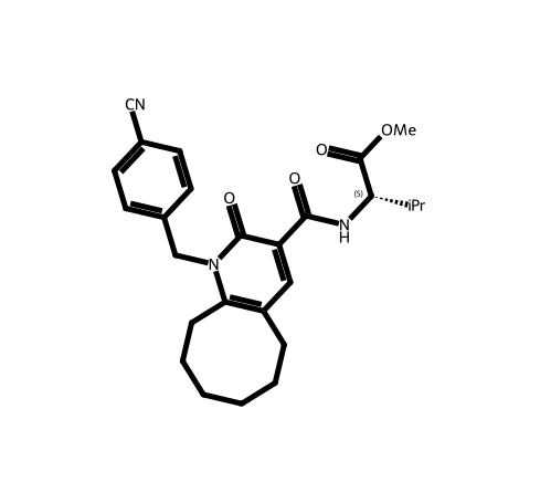 COC(=O)[C@@H](NC(=O)c1cc2c(n(Cc3ccc(C#N)cc3)c1=O)CCCCCC2)C(C)C